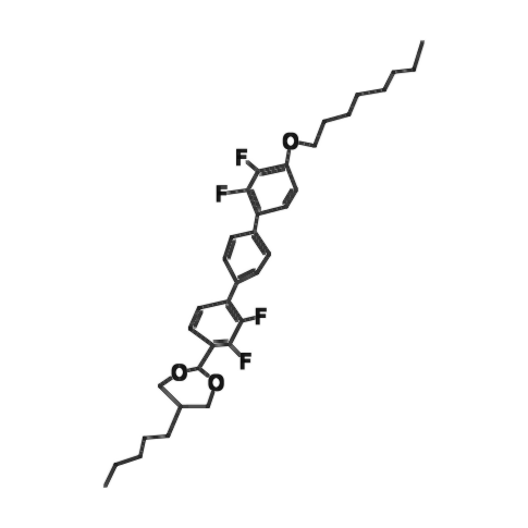 CCCCCCCCOc1ccc(-c2ccc(-c3ccc(C4OCC(CCCCC)CO4)c(F)c3F)cc2)c(F)c1F